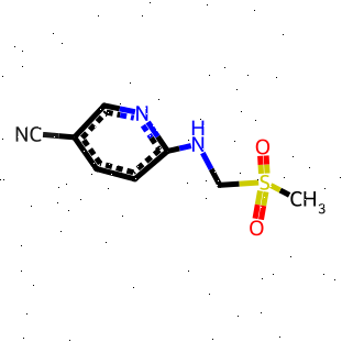 CS(=O)(=O)CNc1ccc(C#N)cn1